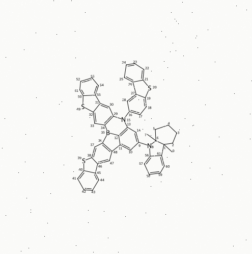 CC12CCCCC1(C)N(c1cc3c4c(c1)N(c1ccc5sc6ccccc6c5c1)c1cc5c(cc1B4c1cc4sc6ccccc6c4cc1-3)sc1ccccc15)c1ccccc12